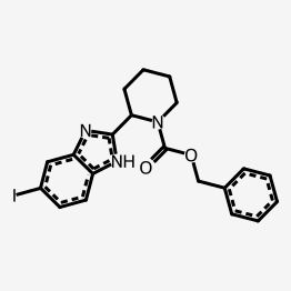 O=C(OCc1ccccc1)N1CCCCC1c1nc2cc(I)ccc2[nH]1